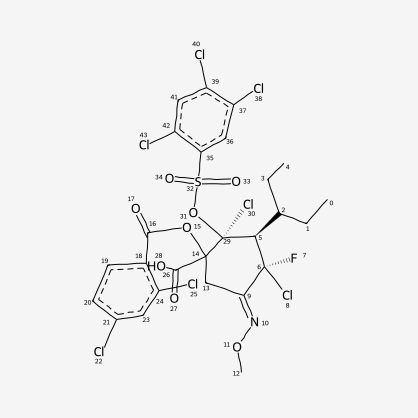 CCC(CC)[C@H]1[C@@](F)(Cl)C(=NOC)CC(OC(=O)c2ccc(Cl)cc2Cl)(C(=O)O)[C@@]1(Cl)OS(=O)(=O)c1cc(Cl)c(Cl)cc1Cl